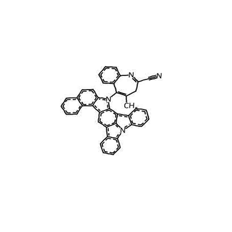 CC1=C(n2c3ccc4ccccc4c3c3cc4c5ccccc5n5c6ccccc6c(c32)c45)c2ccccc2N=C(C#N)C1